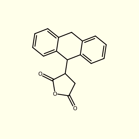 O=C1CC(C2c3ccccc3Cc3ccccc32)C(=O)O1